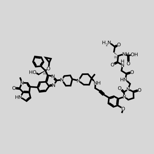 COc1ccc(C#CCNC2(C)CCN(C3CCN(c4nc([C@@](CO)(OC5CC5)c5ccccc5)c5cc(-c6cn(C)c(=O)c7[nH]ccc67)ccc5n4)CC3)CC2)cc1N1CCC(=O)N(CNC(=O)CNC(=O)[C@H](CC(N)=O)NC(=O)O)C1=O